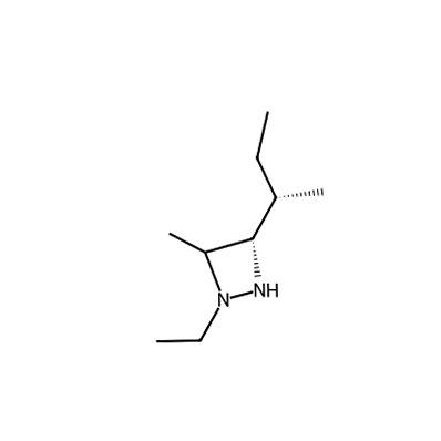 CC[C@H](C)[C@@H]1NN(CC)C1C